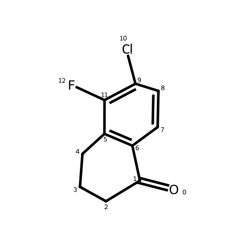 O=C1CCCc2c1ccc(Cl)c2F